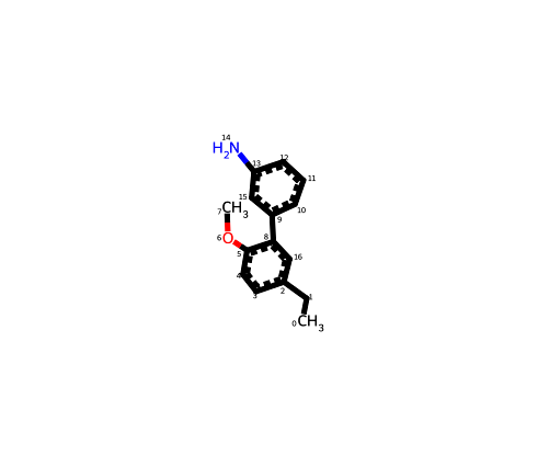 CCc1ccc(OC)c(-c2cccc(N)c2)c1